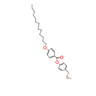 CCCCCCCCCCCCCOc1ccc(C(=O)Oc2ccc(CSC)cc2)cc1